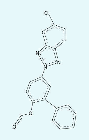 O=[C]Oc1ccc(-n2nc3ccc(Cl)cc3n2)cc1-c1ccccc1